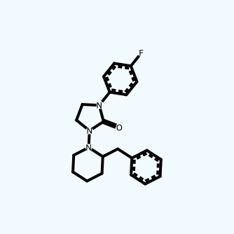 O=C1N(c2ccc(F)cc2)CCN1N1CCCCC1Cc1ccccc1